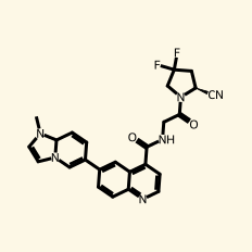 CN1C=CN2C=C(c3ccc4nccc(C(=O)NCC(=O)N5CC(F)(F)C[C@H]5C#N)c4c3)C=CC12